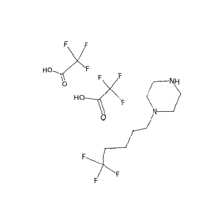 FC(F)(F)CCCCN1CCNCC1.O=C(O)C(F)(F)F.O=C(O)C(F)(F)F